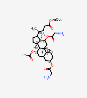 CCCCCCCCOC(=O)CC[C@@H](C)C1CC[C@H]2[C@@H]3[C@H](OC(=O)CC)CC4C[C@H](OC(=O)CN)CC[C@]4(C)[C@H]3C[C@H](OC(=O)CN)[C@]12C